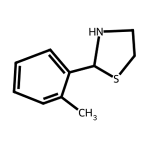 Cc1ccccc1C1NCCS1